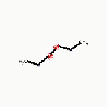 CCCCCCCC/C=C\CCCCCCCC(=O)OC(=O)CCCCC(=O)OC(=O)CCCCCCC/C=C\CCCCCCCC